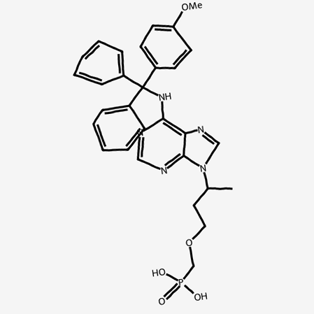 COc1ccc(C(Nc2ncnc3c2ncn3C(C)CCOCP(=O)(O)O)(c2ccccc2)c2ccccc2)cc1